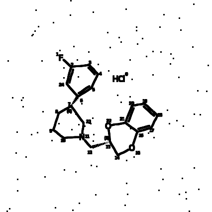 Cl.Fc1cccc([C@H]2CCCN(C[C@H]3COc4ccccc4O3)C2)c1